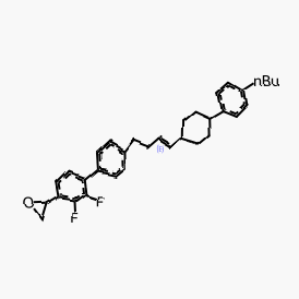 CCCCc1ccc(C2CCC(/C=C/CCc3ccc(-c4ccc(C5CO5)c(F)c4F)cc3)CC2)cc1